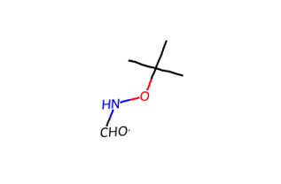 CC(C)(C)ON[C]=O